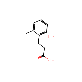 Cc1ccccc1CCC(=O)O.O